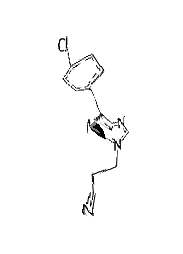 N#CCCn1cnc(-c2ccc(Cl)cc2)n1